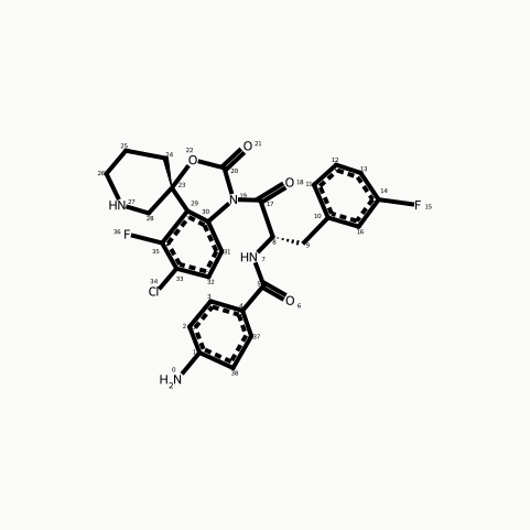 Nc1ccc(C(=O)N[C@@H](Cc2cccc(F)c2)C(=O)N2C(=O)O[C@]3(CCCNC3)c3c2ccc(Cl)c3F)cc1